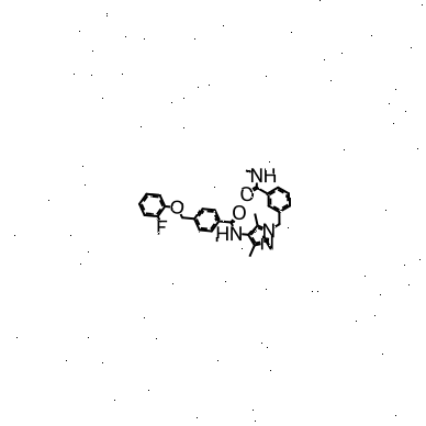 CNC(=O)c1cccc(Cn2nc(C)c(NC(=O)c3ccc(COc4ccccc4F)cc3)c2C)c1